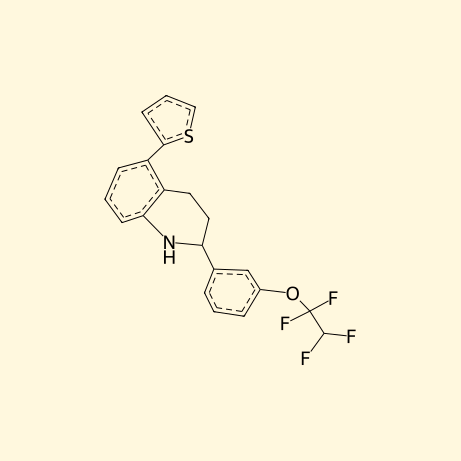 FC(F)C(F)(F)Oc1cccc(C2CCc3c(cccc3-c3cccs3)N2)c1